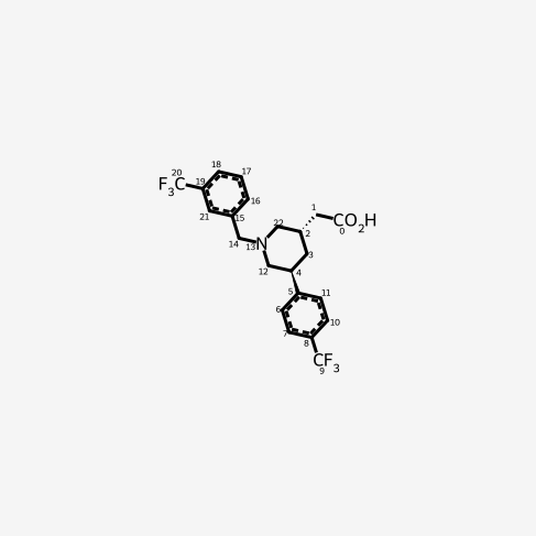 O=C(O)C[C@@H]1C[C@@H](c2ccc(C(F)(F)F)cc2)CN(Cc2cccc(C(F)(F)F)c2)C1